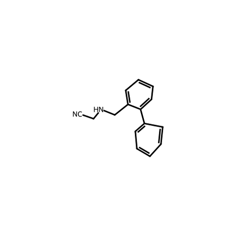 N#CCNCc1ccccc1-c1ccccc1